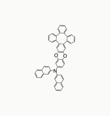 c1ccc2cc(N(c3ccc4ccccc4c3)c3ccc4oc5cc6c7ccccc7c7ccccc7c7ccccc7c6cc5oc4c3)ccc2c1